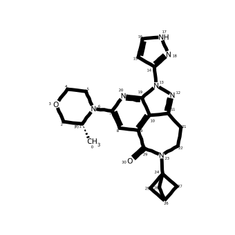 C[C@@H]1COCCN1c1cc2c3c(nn(-c4cc[nH]n4)c3n1)CCN(C13CC(C1)C3)C2=O